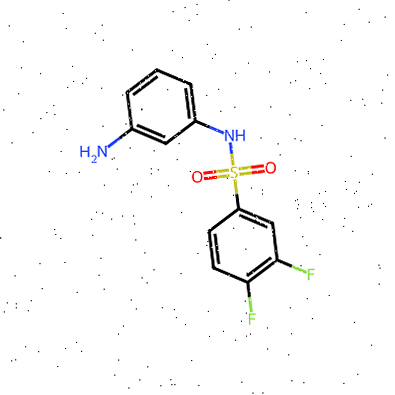 Nc1cccc(NS(=O)(=O)c2ccc(F)c(F)c2)c1